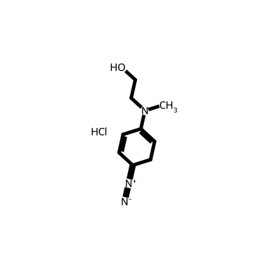 CN(CCO)C1=CCC(=[N+]=[N-])C=C1.Cl